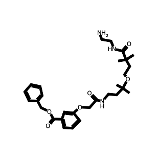 CC(C)(CCNC(=O)COc1cccc(C(=O)OCc2ccccc2)c1)OCCC(C)(C)C(=O)NCCN